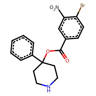 O=C(OC1(c2ccccc2)CCNCC1)c1ccc(Br)c([N+](=O)[O-])c1